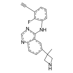 C#Cc1cccc(Nc2ncnc3ccc(C4(C)CNC4)cc23)c1F